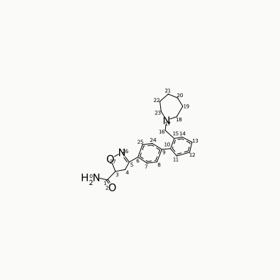 NC(=O)C1CC(c2ccc(-c3ccccc3CN3CCCCCC3)cc2)=NO1